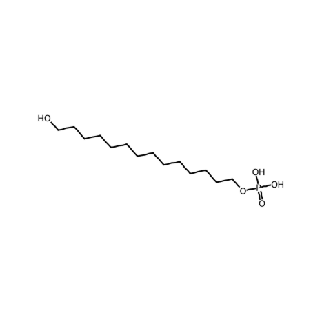 O=P(O)(O)OCCCCCCCCCCCCCCO